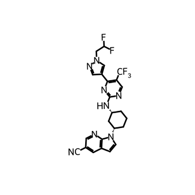 N#Cc1cnc2c(ccn2[C@H]2CCC[C@@H](Nc3ncc(C(F)(F)F)c(-c4cnn(CC(F)F)c4)n3)C2)c1